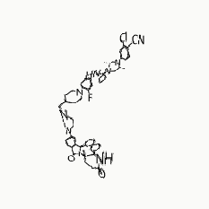 C[C@@H]1CN(c2ccc(C#N)c(Cl)c2)[C@@H](C)CN1C(=O)Nc1ccc(N2CCC(CN3CCN(c4ccc5c(c4)C(=O)N([C@@H]4CCC(=O)NC4=O)C5=O)CC3)CC2)c(F)c1